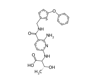 C[C@@H](O)C(Nc1ccc(C(=O)NCc2ccc(Oc3ccccc3)s2)c(N)n1)C(=O)O